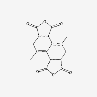 CC1=C2C(=C(C)CC3C(=O)OC(=O)C23)C2C(=O)OC(=O)C2C1